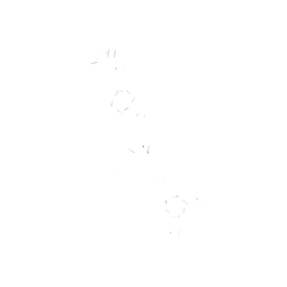 CCOC(Cc1ccc(OCCN(CCOCc2cc(Cl)cc(Cl)c2)C(=O)OC(C)CC)cc1)C(=O)O